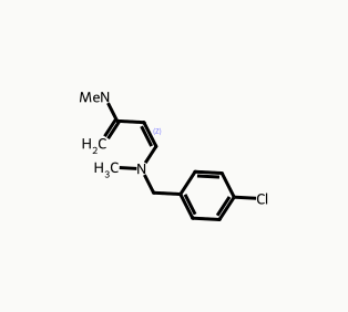 C=C(/C=C\N(C)Cc1ccc(Cl)cc1)NC